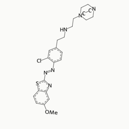 COc1ccc2sc(N=Nc3ccc(CCNCC[N+]45CCN(CC4)CC5)cc3Cl)nc2c1